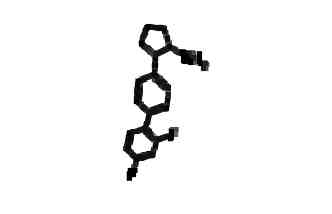 NC1CCCC1c1ccc(-c2ccc(F)cc2F)cc1